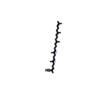 CC(C)=CCC/C(C)=C/CC/C(C)=C/CC/C=C(\C)CC/C=C(\C)CCC=C(C)O